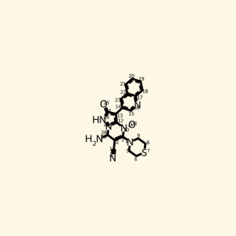 N#CC1=C(N2CCSCC2)[N+](=O)c2c(-c3cnc4ccccc4c3)c(=O)[nH]n2C1N